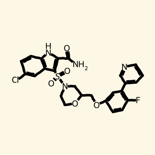 NC(=O)c1[nH]c2ccc(Cl)cc2c1S(=O)(=O)N1CCOC(COc2ccc(F)c(-c3cccnc3)c2)C1